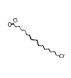 O=C(Cl)CCCCCCCCCCCCCCCCl